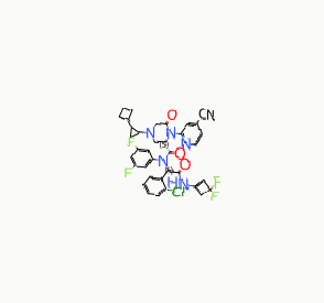 N#Cc1ccnc(N2C(=O)CN(C3CC3C3CCC3)C[C@H]2C(=O)N(c2cc(F)cc(F)c2)[C@H](C(=O)NC2CC(F)(F)C2)c2ccccc2Cl)c1